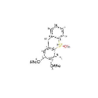 COc1cc2c(c(C)c1OC)[S+]([O-])c1ccccc1C2